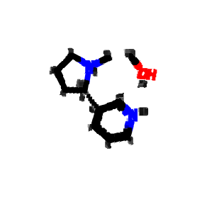 CN1CCC[C@H]1c1cccnc1.CO